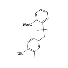 COc1ccccc1C(C)(C)Cc1ccc(C(C)(C)C)c(C)c1